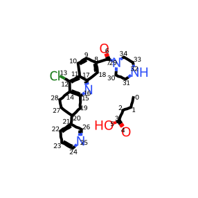 CCCC(=O)O.O=C(c1ccc2c(Cl)c3c(nc2c1)CC(c1cccnc1)CC3)N1CCNCC1